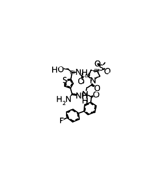 CS(=O)(=O)[C@@H]1C[C@@H](C(=O)N[C@H](CO)c2cc(C(=N)N)cs2)N(C(=O)CNC(=O)c2cccc(-c3ccc(F)cc3)c2)C1